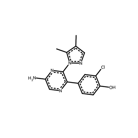 Cc1cnn(-c2nc(N)cnc2-c2ccc(O)c(Cl)c2)c1C